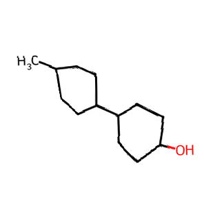 CC1CCC(C2CCC(O)CC2)CC1